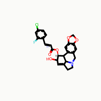 O=C(/C=C/c1ccc(Cl)cc1F)O[C@@H]1C(O)C=C2CCN3Cc4cc5c(cc4C1C23)OCO5